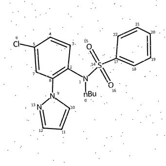 CCCCN(c1ccc(Cl)cc1-n1cccn1)S(=O)(=O)c1ccccc1